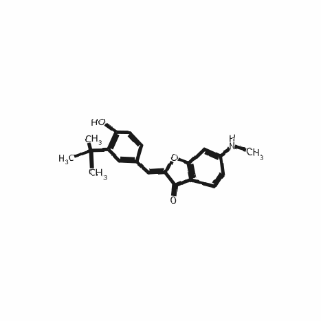 CNc1ccc2c(c1)OC(=Cc1ccc(O)c(C(C)(C)C)c1)C2=O